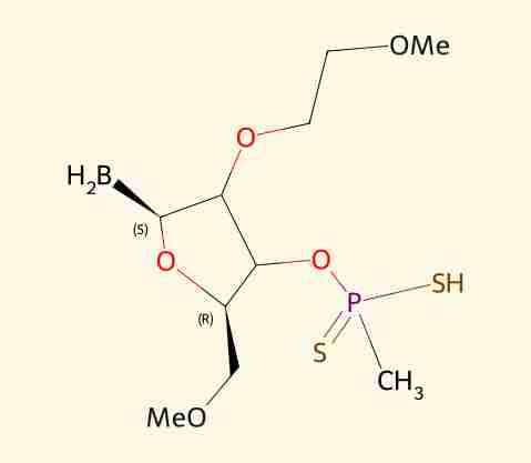 B[C@@H]1O[C@H](COC)C(OP(C)(=S)S)C1OCCOC